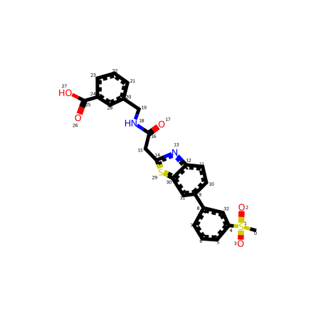 CS(=O)(=O)c1cccc(-c2ccc3nc(CC(=O)NCc4cccc(C(=O)O)c4)sc3c2)c1